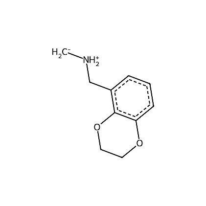 [CH2-][NH2+]Cc1cccc2c1OCCO2